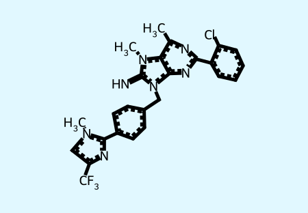 Cc1nc(-c2ccccc2Cl)nc2c1n(C)c(=N)n2Cc1ccc(-c2nc(C(F)(F)F)cn2C)cc1